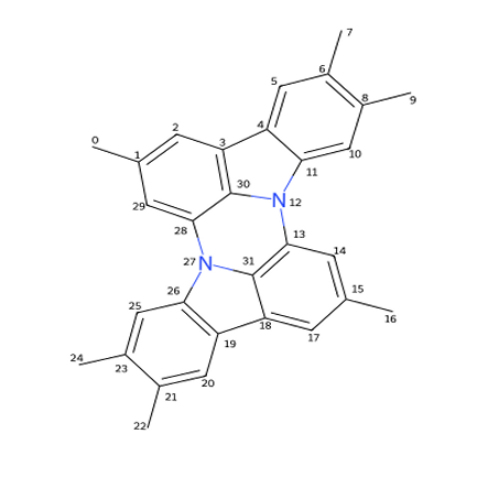 Cc1cc2c3cc(C)c(C)cc3n3c4cc(C)cc5c6cc(C)c(C)cc6n(c(c1)c23)c54